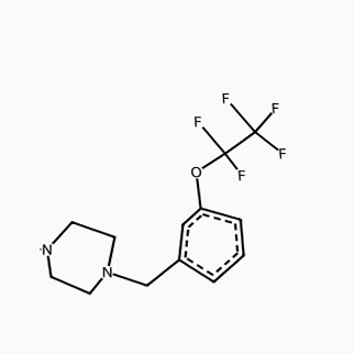 FC(F)(F)C(F)(F)Oc1cccc(CN2CC[N]CC2)c1